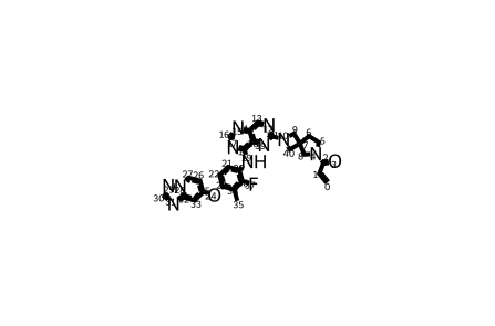 C=CC(=O)N1CCC2(C1)CN(c1ncc3ncnc(Nc4ccc(Oc5ccn6ncnc6c5)c(C)c4F)c3n1)C2